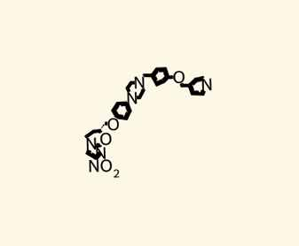 O=[N+]([O-])c1cn2c(n1)O[C@@H](COc1ccc(N3CCN(Cc4ccc(OCc5ccncc5)cc4)CC3)cc1)CC2